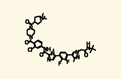 Cc1nn(CC(=O)NC(C)(C)C)cc1-c1ccc(-c2cnc(C(=O)Nc3ccc(C(=O)N4CCN(C(=O)C5CC[N+](C)(C)CC5)CC4)c(Cl)c3)n2C)c(F)c1F